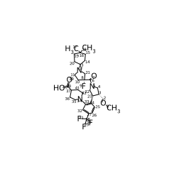 COC[C@H]1CN(C(=O)[C@@]2(F)CCN(C3CCC(C)(C)CC3)C2)C[C@@H]1c1ccc(C(F)(F)F)cc1N1CCC(C(=O)O)CC1